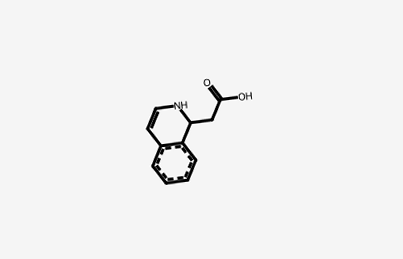 O=C(O)CC1NC=Cc2ccccc21